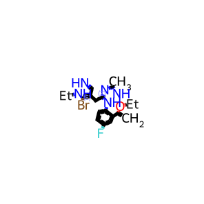 C=C(OCC)c1cc(F)ccc1N/C(C/C(C=N)=C(\Br)NCC)=N\C(C)=N